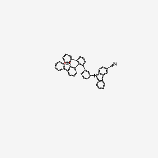 N#Cc1ccc2c(c1)c1ccccc1n2-c1cccc(-c2cccc(-c3ccccc3)c2-c2cccc3c2sc2ccccc23)c1